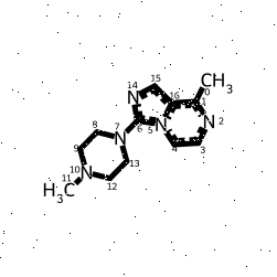 Cc1nccn2c(N3CCN(C)CC3)ncc12